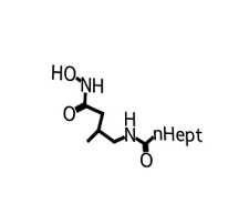 CCCCCCCC(=O)NCC(C)CC(=O)NO